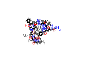 CC[C@H](C)[C@@H]([C@@H](CC(=O)N1CCC[C@H]1[C@H](OC)[C@@H](C)C(=O)N[C@H](C)[C@@H](O)c1ccccc1)OC)N(C)C(=O)[C@@H](NC(=O)[C@H](C(C)C)N(C)C(=O)OCc1ccc(NC(=O)[C@H](CCCNC(N)=O)NC(=O)[C@@H](NC(=O)[C@@H](CN=[N+]=[N-])NC(C)=O)C(C)C)cc1)C(C)C